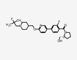 CC(C)(F)CN1CCC(COc2ccc(-c3ccc(C(=O)N4CCC[C@@H]4CO)c(F)c3)cn2)CC1